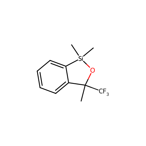 CC1(C(F)(F)F)O[Si](C)(C)c2ccccc21